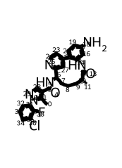 Cc1c(C(=O)NC2CCC[C@H](C)C(=O)Nc3cc(N)ccc3-c3ccnc2c3)cnn1-c1cccc(Cl)c1F